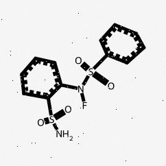 NS(=O)(=O)c1ccccc1N(F)S(=O)(=O)c1ccccc1